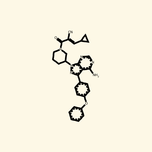 N#CC(=CC1CC1)C(=O)N1CCCC(n2nc(-c3ccc(Oc4ccccc4)cc3)c3c(N)ncnc32)C1